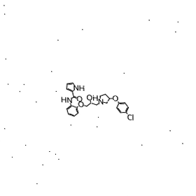 O=C(Nc1ccccc1OCC(O)CN1CCC(Oc2ccc(Cl)cc2)C1)c1ccc[nH]1